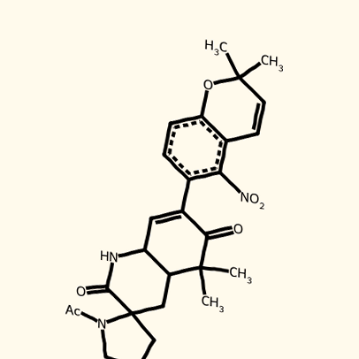 CC(=O)N1CCCC12CC1C(C=C(c3ccc4c(c3[N+](=O)[O-])C=CC(C)(C)O4)C(=O)C1(C)C)NC2=O